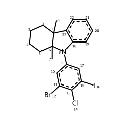 CC12CCCCC1(C)N(c1cc(Br)c(Cl)c(I)c1)c1ccccc12